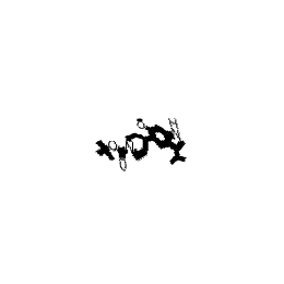 COc1cc2[nH]cc(C(C)C)c2cc1C1CCN(C(=O)OC(C)(C)C)CC1